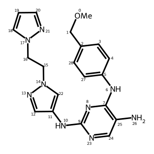 COCc1ccc(Nc2nc(Nc3cnn(CCn4cccn4)c3)ncc2N)cc1